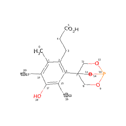 Cc1c(CCC(=O)O)c(C23COP(OC2)OC3)c(C(C)(C)C)c(O)c1C(C)(C)C